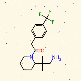 CC(C)(CN)C1CCCCN1C(=O)Cc1ccc(C(F)(F)F)cc1